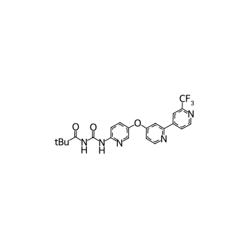 CC(C)(C)C(=O)NC(=O)Nc1ccc(Oc2ccnc(-c3ccnc(C(F)(F)F)c3)c2)cn1